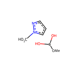 COB(O)O.O=C(O)n1cccn1